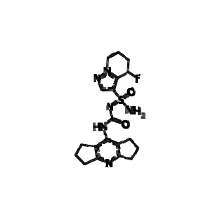 NS(=O)(=NC(=O)Nc1c2c(nc3c1CCC3)CCC2)c1cnn2c1C(F)CCC2